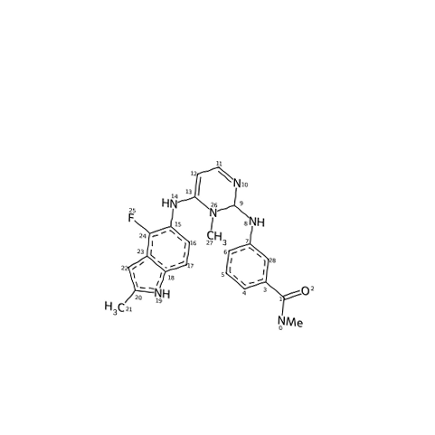 CNC(=O)c1cccc(NC2N=CC=C(Nc3ccc4[nH]c(C)cc4c3F)N2C)c1